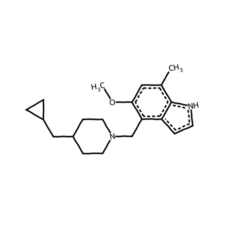 COc1cc(C)c2[nH]ccc2c1CN1CCC(CC2CC2)CC1